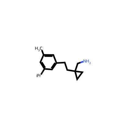 Cc1cc(CCC2(CN)CC2)cc(C(C)C)c1